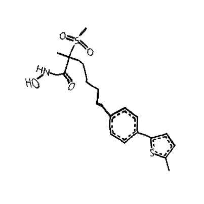 Cc1ccc(-c2ccc(CCCCC(C)(C(=O)NO)S(C)(=O)=O)cc2)s1